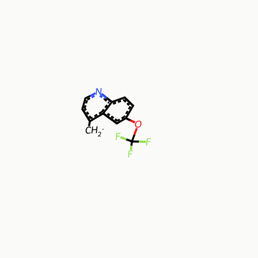 [CH2]c1ccnc2ccc(OC(F)(F)F)cc12